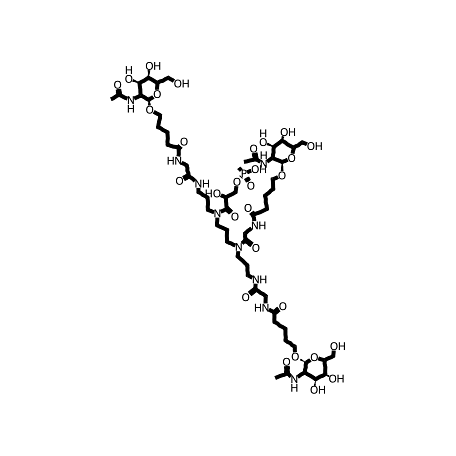 CC(=O)NC1[C@H](OCCCCC(=O)NCC(=O)NCCCN(CCCN(CCCNC(=O)CNC(=O)CCCCO[C@@H]2OC(CO)[C@H](O)[C@H](O)C2NC(C)=O)C(=O)C(O)COP(C)(=O)O)C(=O)CNC(=O)CCCCO[C@@H]2OC(CO)[C@H](O)[C@H](O)C2NC(C)=O)OC(CO)[C@H](O)[C@@H]1O